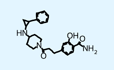 NC(=O)c1ccc(CCC(=O)N2CCC(NC3CC3c3ccccc3)CC2)cc1O